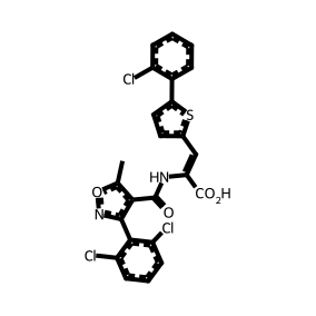 Cc1onc(-c2c(Cl)cccc2Cl)c1C(=O)N/C(=C\c1ccc(-c2ccccc2Cl)s1)C(=O)O